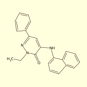 CCn1nc(-c2ccccc2)cc(Nc2cccc3ccccc23)c1=O